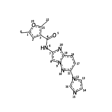 Cc1cc(C(=O)Nc2cn3nc(-n4ccnc4)ccc3n2)c(C)o1